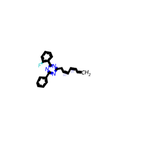 C=C/C=C\C=C/Cc1nc(-c2ccccc2)nc(-c2ccccc2F)n1